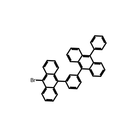 Brc1c2ccccc2c(-c2cccc(-c3c4ccccc4c(-c4ccccc4)c4ccccc34)c2)c2ccccc12